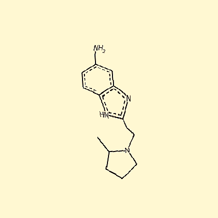 CC1CCCN1Cc1nc2cc(N)ccc2[nH]1